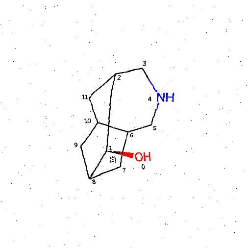 O[C@@H]1C2CNCC3CC1CC3C2